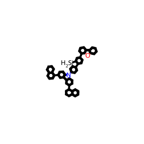 c1ccc2c(-c3ccc4c(c3)c3cc(-c5cccc6ccccc56)ccc3n4-c3ccc4c(c3)[SiH2]c3cc(-c5cccc6c5oc5ccccc56)ccc3-4)cccc2c1